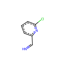 N=Cc1cccc(Cl)n1